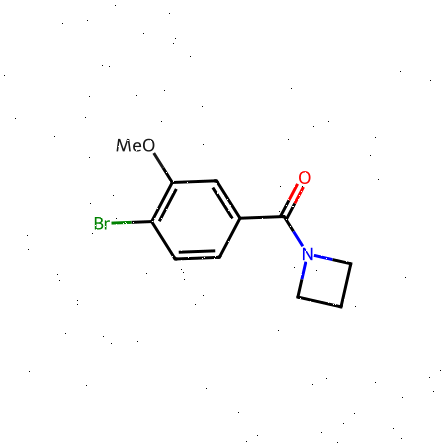 COc1cc(C(=O)N2CCC2)ccc1Br